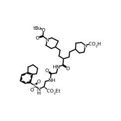 CCOC(=O)[C@H](CNC(=O)CNC(=O)C(CCC1CCN(C(=O)O)CC1)CCC1CCN(C(=O)OC(C)(C)C)CC1)NS(=O)(=O)c1cccc2c1CCCC2